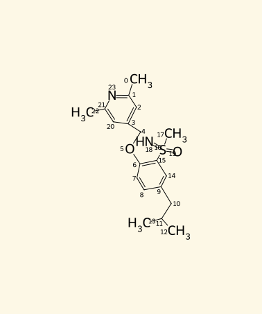 Cc1cc(COc2ccc(CC(C)C)cc2S(C)(=N)=O)cc(C)n1